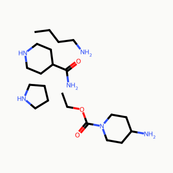 C1CCNC1.CCCCN.CCOC(=O)N1CCC(N)CC1.NC(=O)C1CCNCC1